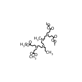 CCCN(CCN(C)CCN(CCC(=O)OOI)CCC(=O)OOI)CCN(CCC(=O)OC)CCC(=O)OC